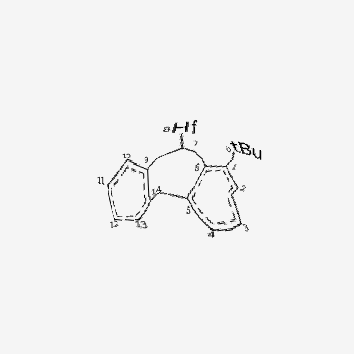 CC(C)(C)c1cccc2c1[CH]([Hf])c1ccccc1-2